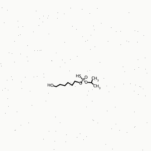 CC(C)OP(=O)(S)OCCCCCCO